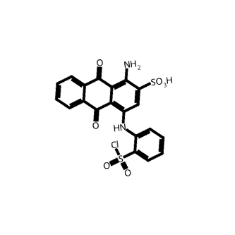 Nc1c(S(=O)(=O)O)cc(Nc2ccccc2S(=O)(=O)Cl)c2c1C(=O)c1ccccc1C2=O